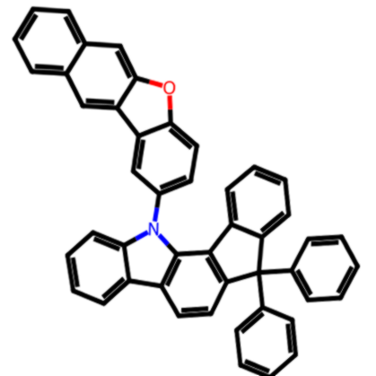 c1ccc(C2(c3ccccc3)c3ccccc3-c3c2ccc2c4ccccc4n(-c4ccc5oc6cc7ccccc7cc6c5c4)c32)cc1